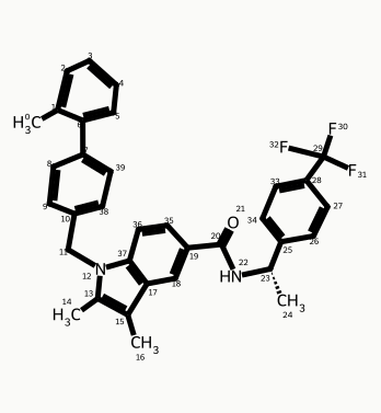 Cc1ccccc1-c1ccc(Cn2c(C)c(C)c3cc(C(=O)N[C@@H](C)c4ccc(C(F)(F)F)cc4)ccc32)cc1